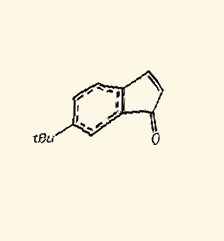 CC(C)(C)c1ccc2c(c1)C(=O)C=C2